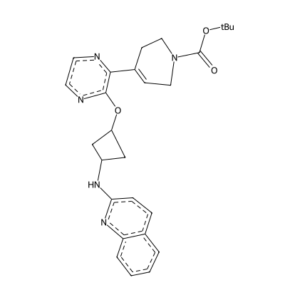 CC(C)(C)OC(=O)N1CC=C(c2nccnc2OC2CC(Nc3ccc4ccccc4n3)C2)CC1